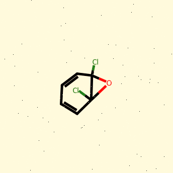 ClC12C=CC=CC1(Cl)O2